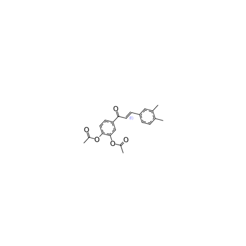 CC(=O)Oc1ccc(C(=O)/C=C/c2ccc(C)c(C)c2)cc1OC(C)=O